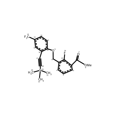 COC(=O)c1cccc(COc2ccc(C(F)(F)F)cc2C#C[Si](C)(C)C)c1F